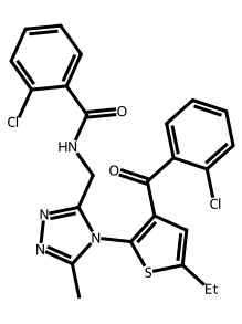 CCc1cc(C(=O)c2ccccc2Cl)c(-n2c(C)nnc2CNC(=O)c2ccccc2Cl)s1